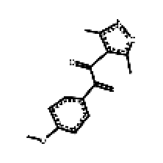 C=C(C(=O)c1c(C)noc1C)c1ccc(OC)cc1